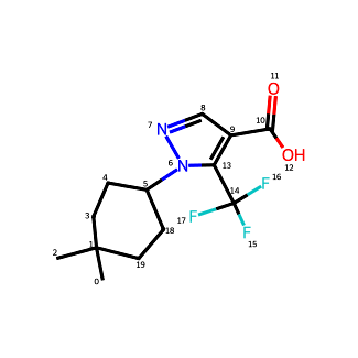 CC1(C)CCC(n2ncc(C(=O)O)c2C(F)(F)F)CC1